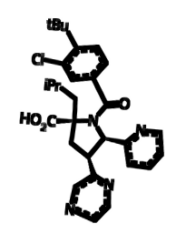 CC(C)C[C@@]1(C(=O)O)C[C@H](c2cnccn2)[C@H](c2ccccn2)N1C(=O)c1ccc(C(C)(C)C)c(Cl)c1